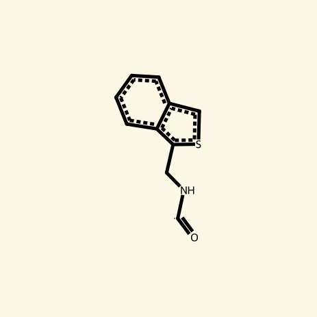 O=[C]NCc1scc2ccccc12